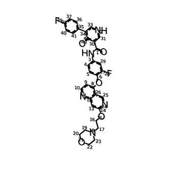 O=C(Nc1ccc(Oc2ccnc3cc(OCCN4CCOCC4)ncc23)c(F)c1)c1c[nH]cc(-c2ccc(F)cc2)c1=O